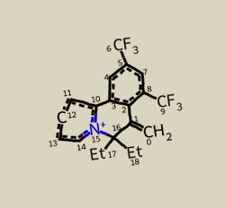 C=C1c2c(cc(C(F)(F)F)cc2C(F)(F)F)-c2cccc[n+]2C1(CC)CC